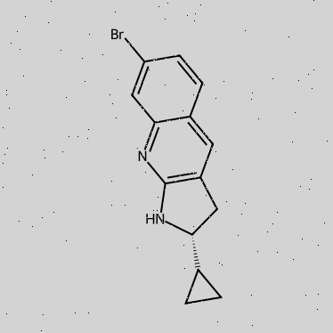 Brc1ccc2cc3c(nc2c1)N[C@@H](C1CC1)C3